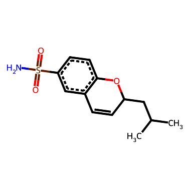 CC(C)CC1C=Cc2cc(S(N)(=O)=O)ccc2O1